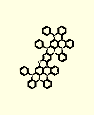 c1ccc(N2c3ccccc3B3c4ccccc4N4c5ccccc5B5c6cc7c(cc6Oc6cc2c3c4c65)N(c2ccccc2)c2cc3c4c5c2B7c2ccccc2N5c2ccccc2B4c2ccccc2N3c2ccccc2)cc1